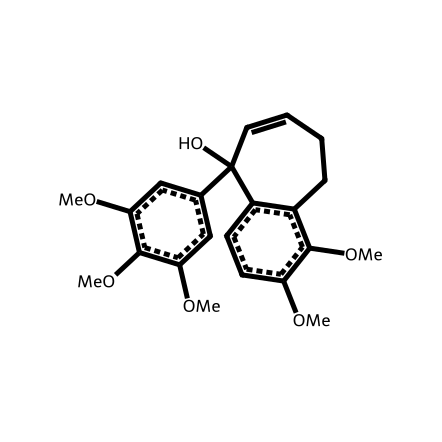 COc1cc(C2(O)C=CCCc3c2ccc(OC)c3OC)cc(OC)c1OC